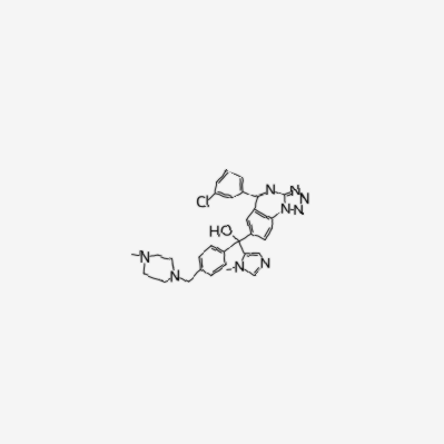 CN1CCN(Cc2ccc(C(O)(c3ccc4c(c3)c(-c3cccc(Cl)c3)nc3nnnn34)c3cncn3C)cc2)CC1